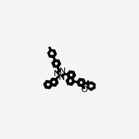 CC1C=CC(c2ccc(-c3nc(-c4ccc5ccccc5c4)nc(-c4cccc5c(-c6ccc7c(c6)OC6C=CC=CC76C)cccc45)n3)cc2)=CC1